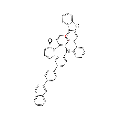 c1ccc(N(c2ccc(-c3ccc(-c4ccc5ccccc5c4)cc3)cc2)c2cccc3oc4ccccc4c23)c(-c2ccc3c(c2)oc2ccccc23)c1